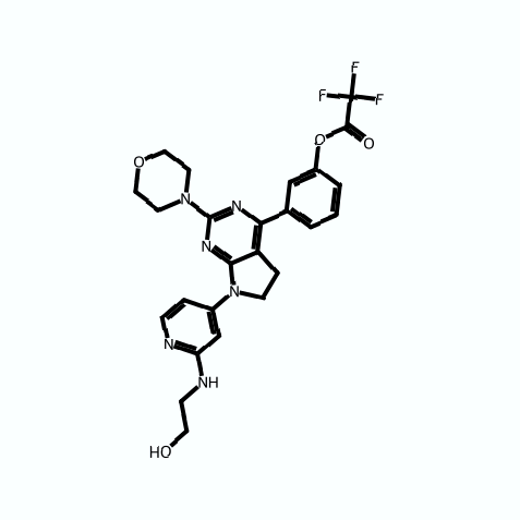 O=C(Oc1cccc(-c2nc(N3CCOCC3)nc3c2CCN3c2ccnc(NCCO)c2)c1)C(F)(F)F